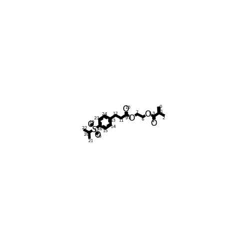 C=C(C)C(=O)OCCOC(=O)CCc1ccc(S(=O)(=O)C(C)C)cc1